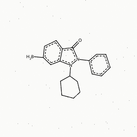 Bc1ccc2c(=O)n(-c3ccccc3)n(C3CCCCC3)c2c1